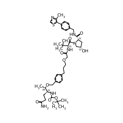 Cc1ncsc1-c1ccc(CNC(=O)[C@@H]2C[C@H](O)CN2C(=O)[C@@H](NC(=O)COCCCc2ccc(CO[C@H](C)[C@H](CCC(N)=O)NC(=O)OC(C)(C)C)cc2)C(C)(C)C)cc1